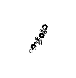 O=C(NCc1ccc(Cl)nc1)Nc1ccc(S(=O)(=O)N2CCCCC2)cc1